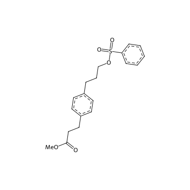 COC(=O)CCc1ccc(CCCOS(=O)(=O)c2ccccc2)cc1